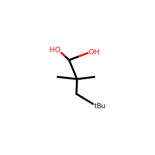 CC(C)(C)CC(C)(C)C(O)O